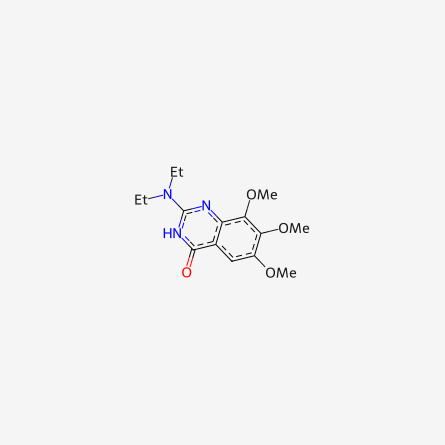 CCN(CC)c1nc2c(OC)c(OC)c(OC)cc2c(=O)[nH]1